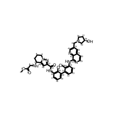 COC(=O)CN[C@H]1CCCn2nc(C(=O)Nc3cccc(-c4cccc(Nc5nccc6cc(CN7CC[C@@H](O)C7)cnc56)c4Cl)c3Cl)cc21